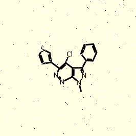 Cn1nc(-c2ccccc2)c2c(Cl)c(-c3ccsc3)nnc21